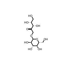 O=C(COC1O[C@H](CO)[C@@H](O)[C@H](O)[C@H]1O)[C@@H](O)[C@H](O)CO